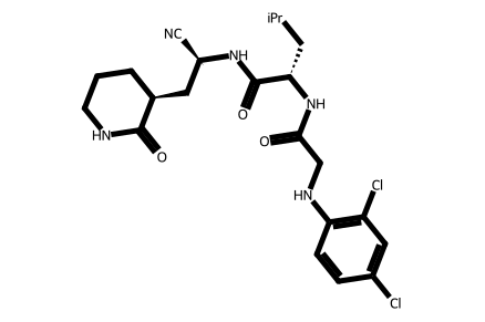 CC(C)C[C@H](NC(=O)CNc1ccc(Cl)cc1Cl)C(=O)N[C@H](C#N)C[C@@H]1CCCNC1=O